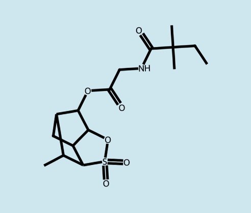 CCC(C)(C)C(=O)NCC(=O)OC1C2CC3C1OS(=O)(=O)C3C2C